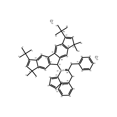 CC(C)(C)C1=CC(C)(C)c2cc3c(cc21)-c1cc2c(cc1[CH]3[Zr+2]([C]1=CC=CC1)=[C](Cc1ccccc1)Cc1ccccc1)C(C)(C)C=C2C(C)(C)C.[Cl-].[Cl-]